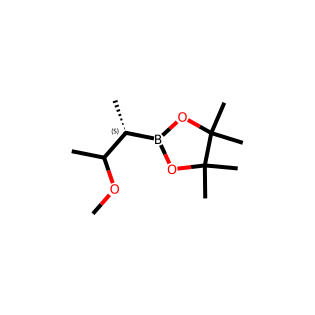 COC(C)[C@H](C)B1OC(C)(C)C(C)(C)O1